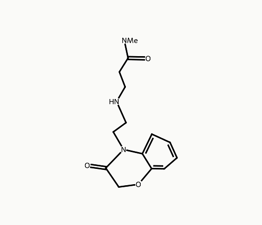 CNC(=O)CCNCCN1C(=O)COc2ccccc21